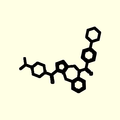 CC(C)N1CCN(C(=O)c2ccc3n2Cc2ccccc2N(C(=O)c2ccc(C4CCCCC4)cc2)C3)CC1